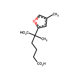 Cc1coc(C(C)(CCCC(=O)O)C(=O)O)c1